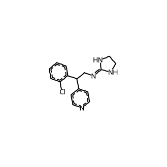 Clc1ccccc1C(CN=C1NCCN1)c1ccncc1